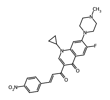 CN1CCN(c2cc3c(cc2F)c(=O)c(C(=O)C=Cc2ccc([N+](=O)[O-])cc2)cn3C2CC2)CC1